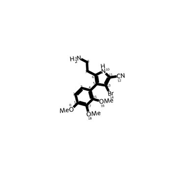 COc1ccc(-c2c(CCN)[nH]c(C#N)c2Br)c(OC)c1OC